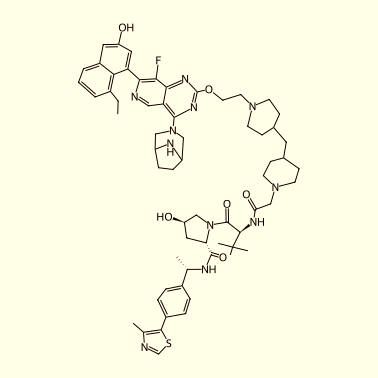 CCc1cccc2cc(O)cc(-c3ncc4c(N5CC6CCC(C5)N6)nc(OCCN5CCC(CC6CCN(CC(=O)N[C@H](C(=O)N7C[C@H](O)C[C@H]7C(=O)N[C@@H](C)c7ccc(-c8scnc8C)cc7)C(C)(C)C)CC6)CC5)nc4c3F)c12